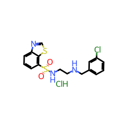 Cl.O=S(=O)(NCCNCc1cccc(Cl)c1)c1cccc2ncsc12